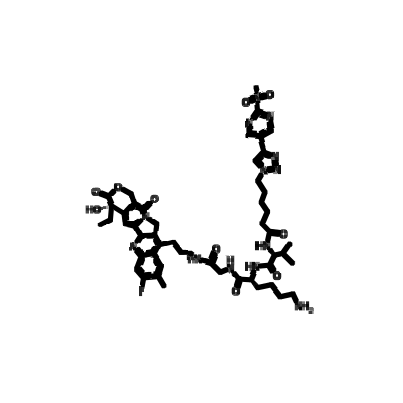 CC[C@@]1(O)C(=O)OCc2c1cc1n(c2=O)Cc2c-1nc1cc(F)c(C)cc1c2CCCNC(=O)CNC(=O)[C@H](CCCCN)NC(=O)[C@@H](NC(=O)CCCCCn1cc(-c2cnc(S(C)(=O)=O)nc2)nn1)C(C)C